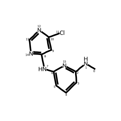 CNc1cccc(Nc2cc(Cl)ncn2)n1